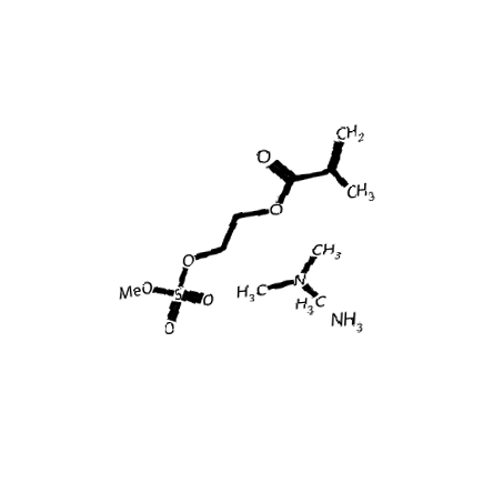 C=C(C)C(=O)OCCOS(=O)(=O)OC.CN(C)C.N